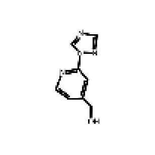 OCc1ccnc(-n2cncn2)c1